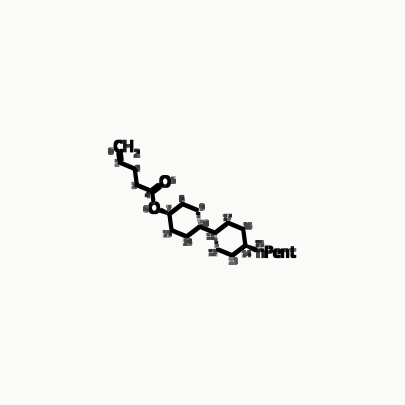 C=CCCC(=O)O[C@H]1CC[C@H]([C@H]2CC[C@H](CCCCC)CC2)CC1